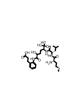 CSCC[C@H](N)C(=O)N[C@@H](CC(C)C)C(=O)NC(CCC(O)C(=O)Nc1ccccc1CCC(=O)O)C(O)(O)O